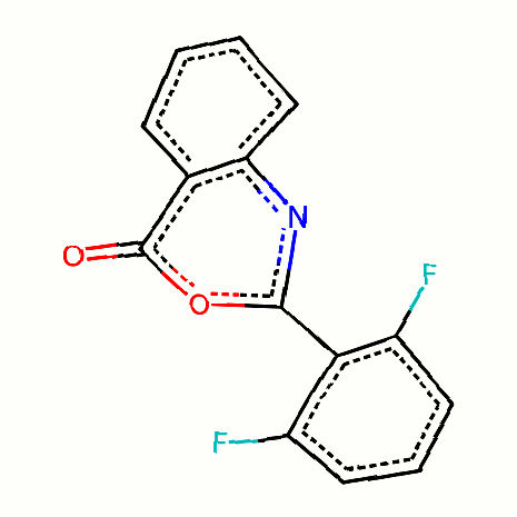 O=c1oc(-c2c(F)cccc2F)nc2ccccc12